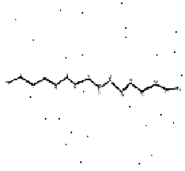 CCCCCCCC[P][P]CCCCCC